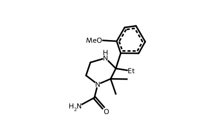 CCC1(c2ccccc2OC)NCCN(C(N)=O)C1(C)C